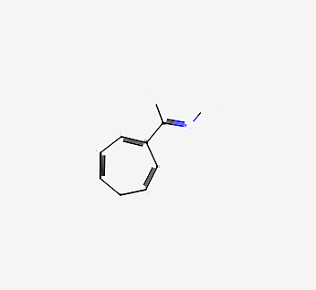 C/N=C(\C)C1=CC=CCC=C1